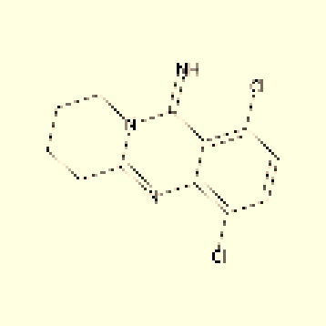 N=c1c2c(Cl)ccc(Cl)c2nc2n1CCCC2